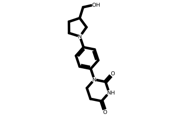 O=C1CCN(c2ccc(N3CCC(CO)C3)cc2)C(=O)N1